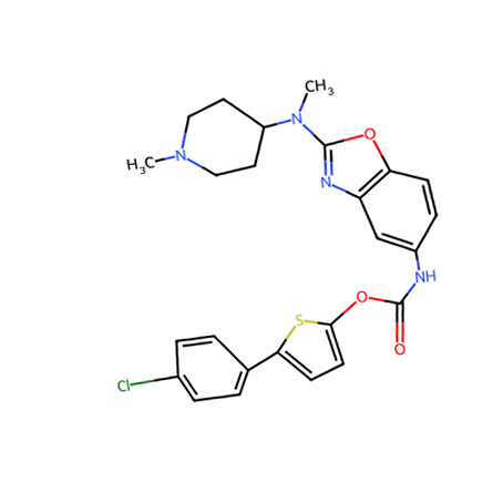 CN1CCC(N(C)c2nc3cc(NC(=O)Oc4ccc(-c5ccc(Cl)cc5)s4)ccc3o2)CC1